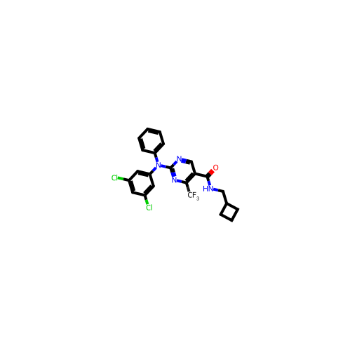 O=C(NCC1CCC1)c1cnc(N(c2ccccc2)c2cc(Cl)cc(Cl)c2)nc1C(F)(F)F